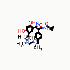 CC(C)c1cc(-c2noc(NC(=O)C3CC3)c2-c2ccc(CN(C)CCN(C)C)cc2)c(O)cc1O